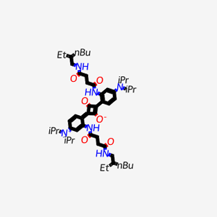 CCCCC(CC)CNC(=O)CCC(=O)NC1=CC(=[N+](C(C)C)C(C)C)C=C/C1=C1\C(=O)C(c2ccc(N(C(C)C)C(C)C)cc2NC(=O)CCC(=O)NCC(CC)CCCC)=C1[O-]